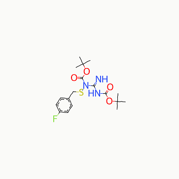 CC(C)(C)OC(=O)NC(=N)N(SCc1ccc(F)cc1)C(=O)OC(C)(C)C